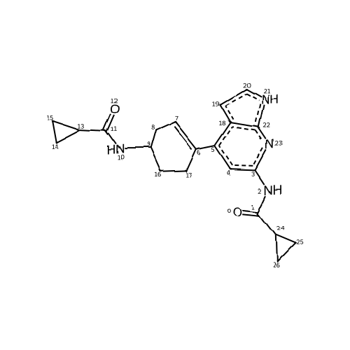 O=C(Nc1cc(C2=CCC(NC(=O)C3CC3)CC2)c2cc[nH]c2n1)C1CC1